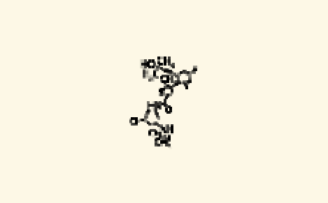 Cc1sc(C(=O)Nc2cc(Cl)cc(NS(C)(=O)=O)c2)cc1-c1ncc(F)cc1C#CC(C)(C)O